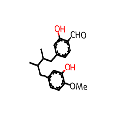 COc1ccc(CC(C)C(C)Cc2ccc(C=O)c(O)c2)cc1O